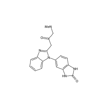 CNCC(=O)Cc1nc2ccccc2n1-c1ccc2[nH]c(=O)[nH]c2c1